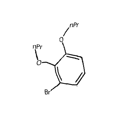 CCCOc1cc[c]c(Br)c1OCCC